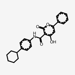 O=C(Nc1ccc(C2CCCCC2)cc1)c1c(O)cc(-c2ccccc2)oc1=O